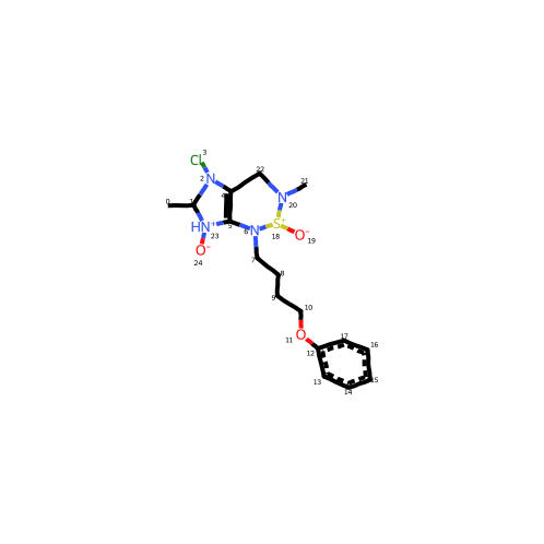 CC1N(Cl)C2=C(N(CCCCOc3ccccc3)[S+]([O-])N(C)C2)[NH+]1[O-]